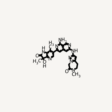 Cc1c(-c2cc3cc(Nc4cc5n(n4)CC(=O)N(C)CC5)ncc3c(N)n2)cnc2c1NC(=O)C2(C)O